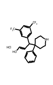 Cl.OC=CC(c1cc(C(F)(F)F)cc(C(F)(F)F)c1)C1(c2ccccc2)CCNCC1